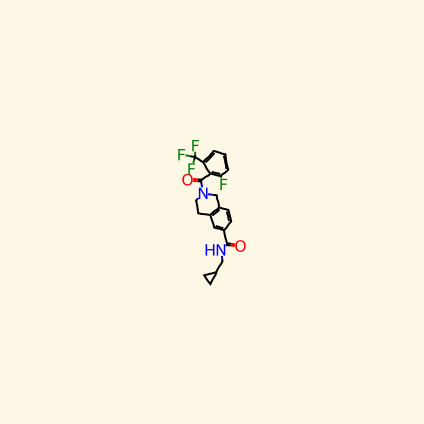 O=C(NCC1CC1)c1ccc2c(c1)CCN(C(=O)c1c(F)cccc1C(F)(F)F)C2